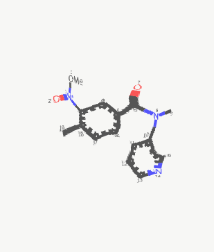 CO[N+](=O)c1cc(C(=O)N(C)c2cccnc2)ccc1C